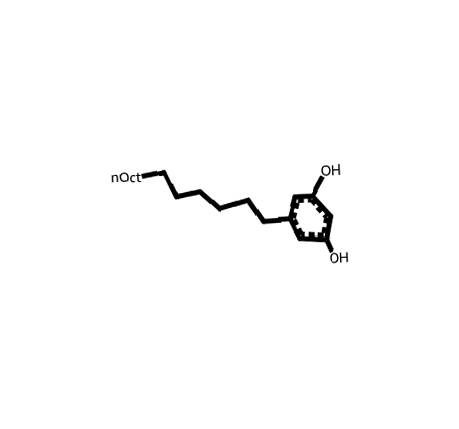 CCCCCCCCCCCCCCc1cc(O)cc(O)c1